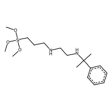 CO[Si](CCCNCCNC(C)(C)c1ccccc1)(OC)OC